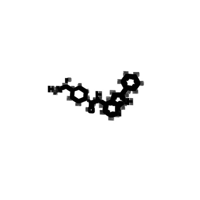 C[C@@H](N)[C@H]1CC[C@H](C(=O)Nc2ccnc3[nH]c(-c4ccccc4)cc23)CC1